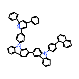 c1ccc(-c2cc(-c3ccccc3)nc(-c3ccc(-n4c5ccccc5c5ccc(-c6ccc7c(c6)c6ccccc6n7-c6ccc(-c7cccc8ccccc78)cc6)cc54)cc3)c2)cc1